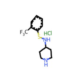 Cl.FC(F)(F)c1ccccc1SNC1CCNCC1